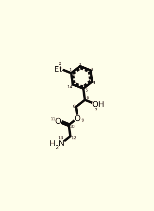 CCc1cccc(C(O)COC(=O)CN)c1